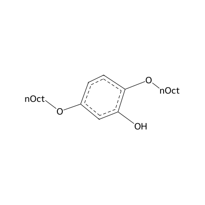 CCCCCCCCOc1ccc(OCCCCCCCC)c(O)c1